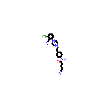 N#CCCCC(=O)NC1CCC(CCN2CCN(c3cccc(Cl)c3C#N)CC2)CC1